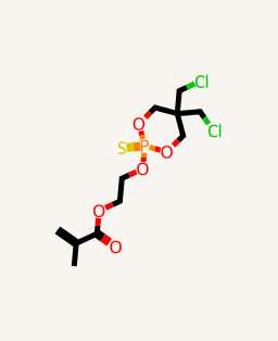 C=C(C)C(=O)OCCOP1(=S)OCC(CCl)(CCl)CO1